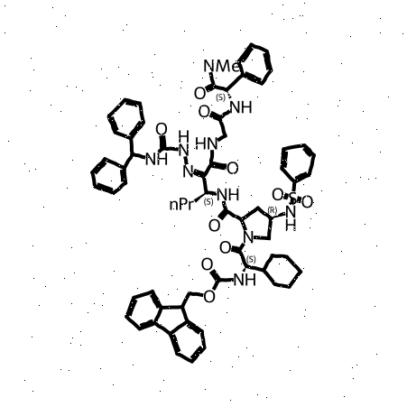 CCC[C@H](NC(=O)C1C[C@@H](NS(=O)(=O)c2ccccc2)CN1C(=O)[C@@H](NC(=O)OCC1c2ccccc2-c2ccccc21)C1CCCCC1)C(=NNC(=O)NC(c1ccccc1)c1ccccc1)C(=O)NCC(=O)N[C@H](C(=O)NC)c1ccccc1